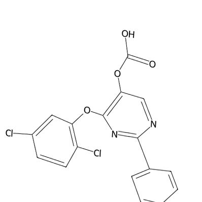 O=C(O)Oc1cnc(-c2ccccc2)nc1Oc1cc(Cl)ccc1Cl